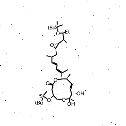 CC[C@H](O[Si](C)(C)C(C)(C)C)[C@@H](C)[C@H]1O[C@@H]1C[C@H](C)/C=C/C=C(\C)[C@H]1OC(=O)C[C@H](O[Si](C)(C)C(C)(C)C)CC[C@@](C)(O)[C@@H](O)/C=C/[C@@H]1C